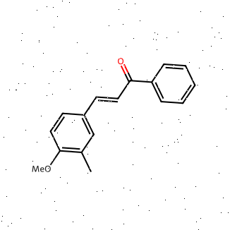 COc1ccc(C=CC(=O)c2cc[c]cc2)cc1C